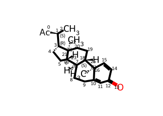 CC(=O)[C@@H](C)[C@H]1CC[C@H]2[C@@H]3CCC4=CC(=O)C=C[C@]4(C)[C@H]3CC[C@]12C